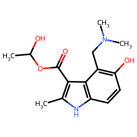 Cc1[nH]c2ccc(O)c(CN(C)C)c2c1C(=O)OC(C)O